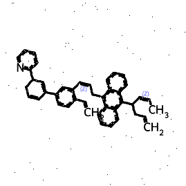 C=CCC(/C=C\C)c1c2ccccc2c(C/C=C\c2cc(C3=CC(c4ccccn4)CC=C3)ccc2C=C)c2ccccc12